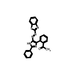 CC(=O)c1ccccc1-c1nc(-c2ccccc2)[nH]c1/N=N/c1nc2ccccc2s1